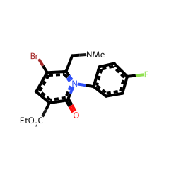 CCOC(=O)c1cc(Br)c(CNC)n(-c2ccc(F)cc2)c1=O